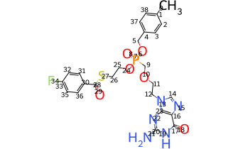 Cc1ccc(COP(=O)(COCCn2cnc3c(=O)[nH]c(N)nc32)OCCSC(=O)c2ccc(F)cc2)cc1